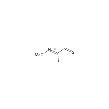 CO/N=C(\C)[C]=S